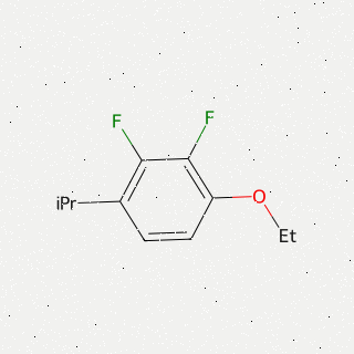 CCOc1ccc(C(C)C)c(F)c1F